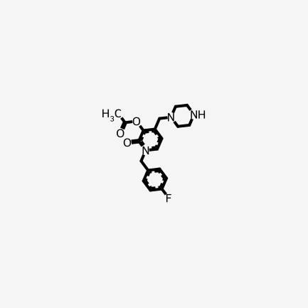 CC(=O)Oc1c(CN2CCNCC2)ccn(Cc2ccc(F)cc2)c1=O